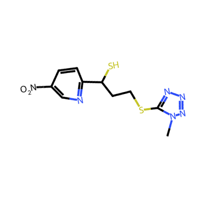 Cn1nnnc1SCCC(S)c1ccc([N+](=O)[O-])cn1